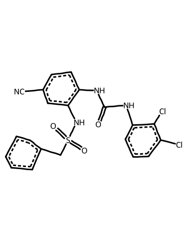 N#Cc1ccc(NC(=O)Nc2cccc(Cl)c2Cl)c(NS(=O)(=O)Cc2ccccc2)c1